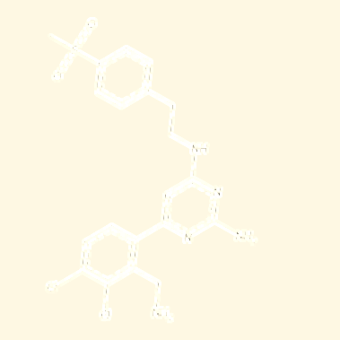 CS(=O)(=O)c1ccc(CCNc2cc(-c3ccc(Cl)c(Cl)c3CN)nc(N)n2)cc1